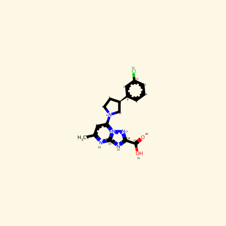 Cc1cc(N2CC[C@@H](c3cccc(Cl)c3)C2)n2nc(C(=O)O)nc2n1